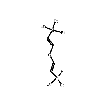 CC[Si](C=COC=C[Si](CC)(CC)CC)(CC)CC